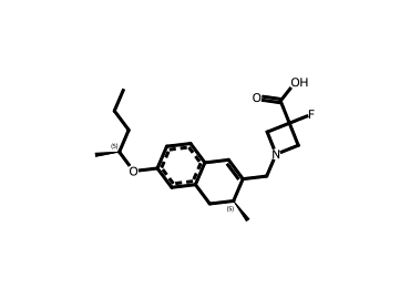 CCC[C@H](C)Oc1ccc2c(c1)C[C@H](C)C(CN1CC(F)(C(=O)O)C1)=C2